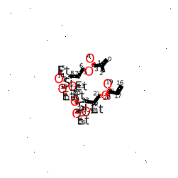 C=C(C)C(=O)OCCC[Si](OCC)(OCC)OCC.C=CC(=O)OCCC[Si](OCC)(OCC)OCC